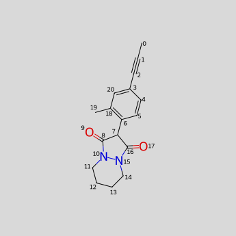 CC#Cc1ccc(C2C(=O)N3CCCCN3C2=O)c(C)c1